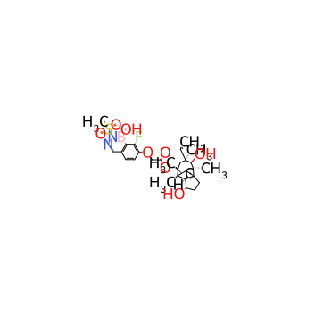 C=C[C@]1(C)C[C@@H](OC(=O)COc2ccc3c(c2F)B(O)N(S(C)(=O)=O)N=C3)[C@]2(C)[C@H](C)CC[C@]3(CCC(O)[C@H]32)[C@@H](C)[C@@H]1O